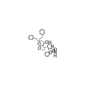 CCC(C1=C(O)CC(CCc2ccccc2)(CCc2ccccc2)OC1=O)c1ccnc(S(=O)(=O)NC)c1-c1ccccc1